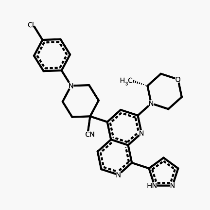 C[C@@H]1COCCN1c1cc(C2(C#N)CCN(c3ccc(Cl)cc3)CC2)c2ccnc(-c3ccn[nH]3)c2n1